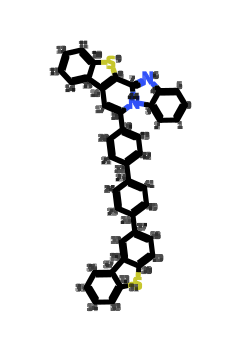 c1ccc2c(c1)nc1c3sc4ccccc4c3cc(-c3ccc(-c4ccc(-c5ccc6sc7ccccc7c6c5)cc4)cc3)n21